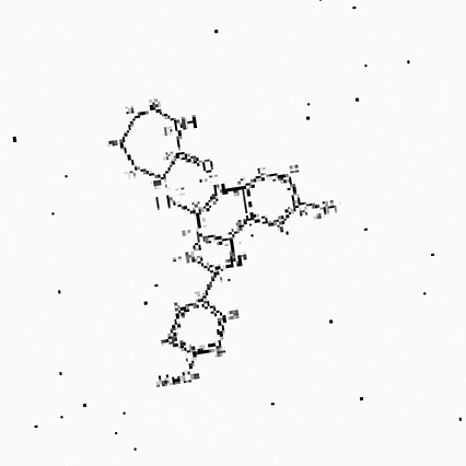 COc1ccc(-c2nc3c4cc(C(C)C)ccc4nc(N[C@@H]4CCCCNC4=O)n3n2)cc1